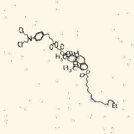 CC/C=C\C/C=C\C/C=C\CCCCCCCC(=O)Oc1cc(C)c2c(c1)CC[C@@H]1[C@@H]2CC[C@]2(C)[C@@H](OC(=O)COC(=O)CCCc3ccc(N(CCCl)CCCl)cc3)CC[C@@H]12